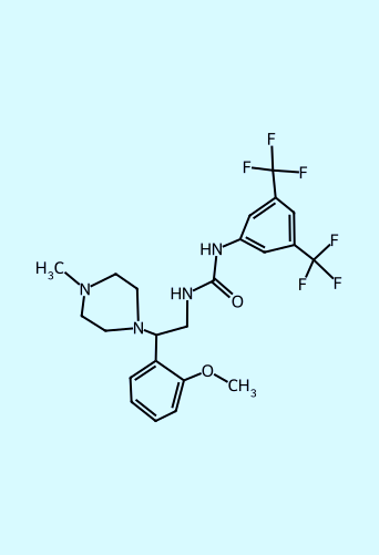 COc1ccccc1C(CNC(=O)Nc1cc(C(F)(F)F)cc(C(F)(F)F)c1)N1CCN(C)CC1